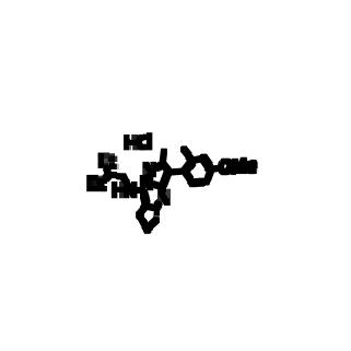 CCC(CC)CNc1c2c(nc3c(-c4ccc(OC)cc4C)c(C)nn13)CCC2.Cl